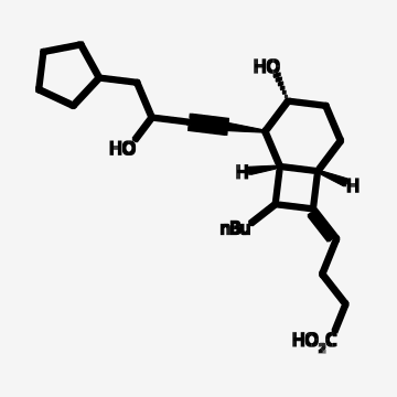 CCCCC1C(=CCCC(=O)O)[C@H]2CC[C@@H](O)[C@H](C#CC(O)CC3CCCC3)[C@@H]12